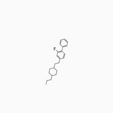 CCCC1CCC(CCc2ccc(-c3ccccc3)c(F)c2)CC1